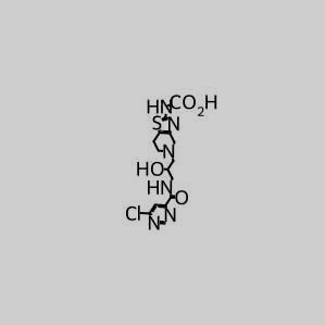 O=C(O)Nc1nc2c(s1)CCN(CC(O)CNC(=O)c1cc(Cl)ncn1)C2